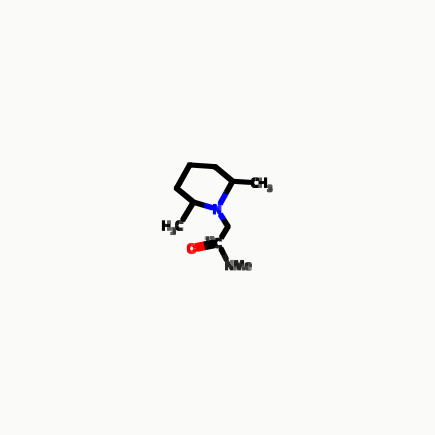 CC1CCCC(C)N1C[13C](=O)[15NH][13CH3]